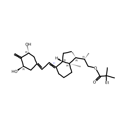 C=C1[C@H](O)CC(=C/C=C2\CCC[C@]3(C)[C@@H]([C@H](C)COC(=O)C(C)(C)CC)CC[C@@H]23)C[C@H]1O